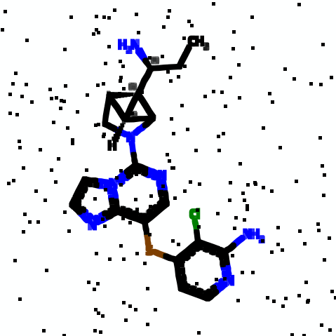 CC[C@H](N)[C@@]12C3CN(c4ncc(Sc5ccnc(N)c5Cl)c5nccn45)C1[C@@H]32